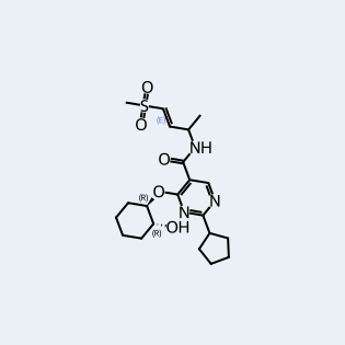 CC(/C=C/S(C)(=O)=O)NC(=O)c1cnc(C2CCCC2)nc1O[C@@H]1CCCC[C@H]1O